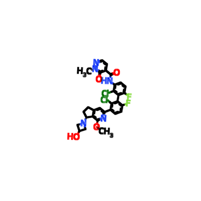 COc1nc(-c2ccc(F)c(-c3c(F)ccc(NC(=O)c4ccnn(C)c4=O)c3Cl)c2Cl)cc2c1[C@@H](N1CC(O)C1)CC2